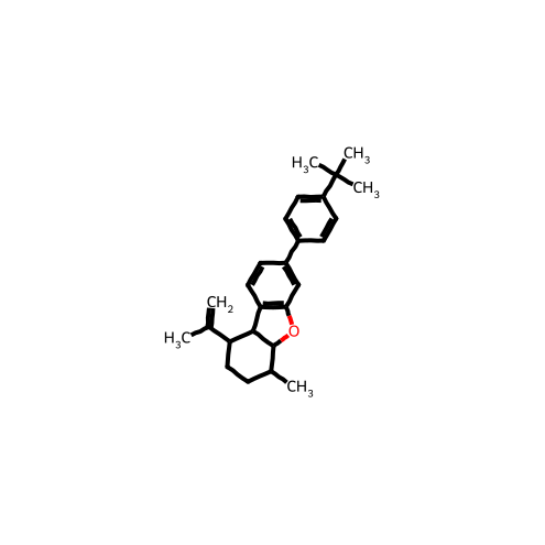 C=C(C)C1CCC(C)C2Oc3cc(-c4ccc(C(C)(C)C)cc4)ccc3C12